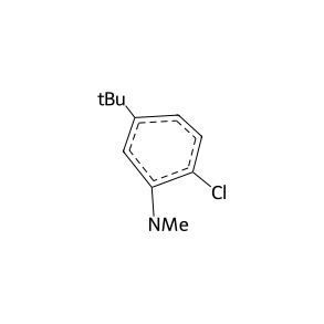 CNc1cc(C(C)(C)C)ccc1Cl